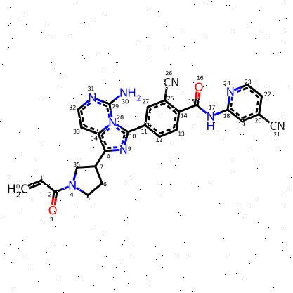 C=CC(=O)N1CCC(c2nc(-c3ccc(C(=O)Nc4cc(C#N)ccn4)c(C#N)c3)n3c(N)nccc23)C1